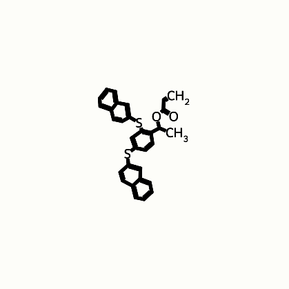 C=CC(=O)OC(C)c1ccc(Sc2ccc3ccccc3c2)cc1Sc1ccc2ccccc2c1